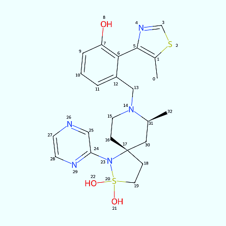 Cc1scnc1-c1c(O)cccc1CN1CC[C@]2(CCS(O)(O)N2c2cnccn2)C[C@@H]1C